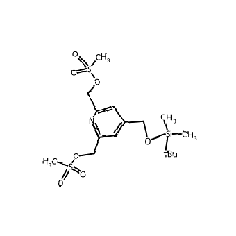 CC(C)(C)[Si](C)(C)OCc1cc(COS(C)(=O)=O)nc(COS(C)(=O)=O)c1